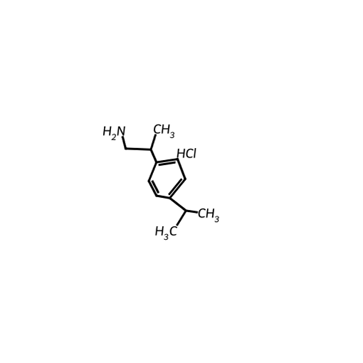 CC(C)c1ccc(C(C)CN)cc1.Cl